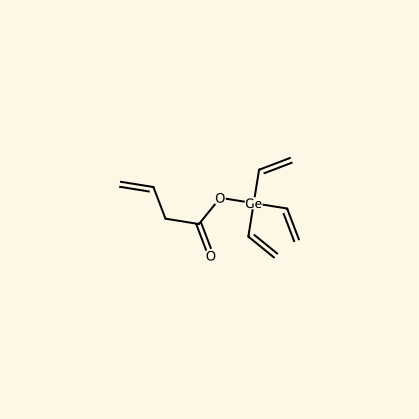 C=CCC(=O)[O][Ge]([CH]=C)([CH]=C)[CH]=C